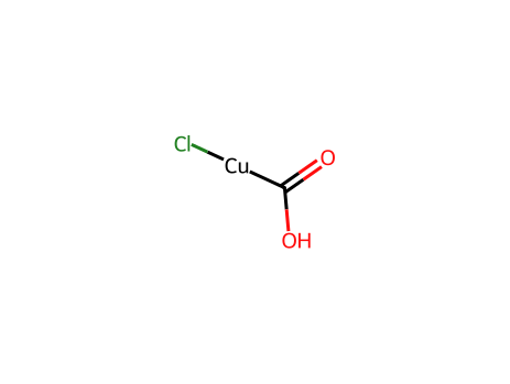 O=[C](O)[Cu][Cl]